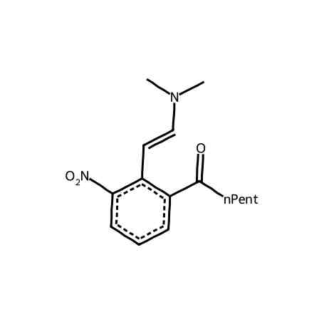 CCCCCC(=O)c1cccc([N+](=O)[O-])c1C=CN(C)C